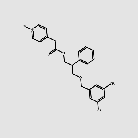 O=C(Cc1cc[n+]([O-])cc1)NCC(COCc1cc(C(F)(F)F)cc(C(F)(F)F)c1)c1ccccc1